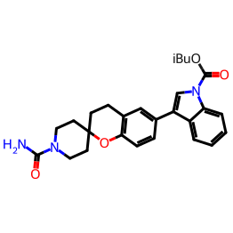 CC(C)COC(=O)n1cc(-c2ccc3c(c2)CCC2(CCN(C(N)=O)CC2)O3)c2ccccc21